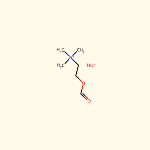 C[N+](C)(C)CCOC=O.[OH-]